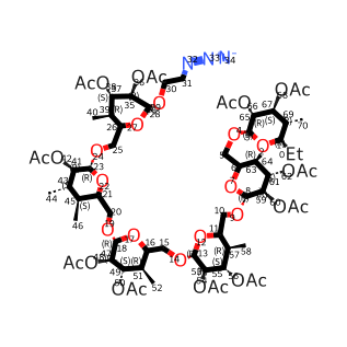 CC[C@H]1O[C@@H](OCC2O[C@@H](OCC3O[C@@H](OCC4O[C@@H](OCC5O[C@@H](OCC6O[C@@H](OCCN=[N+]=[N-])[C@H](OC(C)=O)[C@@H](OC(C)=O)[C@@H]6C)[C@H](OC(C)=O)[C@@H](C)[C@@H]5C)[C@H](OC(C)=O)[C@@H](OC(C)=O)[C@@H]4C)[C@H](OC(C)=O)[C@@H](OC(C)=O)[C@@H]3C)[C@H](OC(C)=O)[C@@H](OC(C)=O)[C@@H]2C)[C@H](OC(C)=O)[C@@H](OC(C)=O)[C@@H]1C